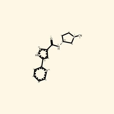 N#CN1CC[C@@H](NC(=O)c2cc(-c3ccccn3)[nH]n2)C1